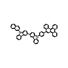 c1ccc2cc(-n3c4ccccc4c4cc(-c5ccc6c(c5)c5ccccc5n6-c5ccc(-c6cc7c8ccccc8c8ccccc8c7c7ccccc67)cc5)ccc43)ccc2c1